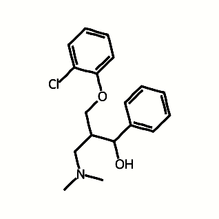 CN(C)CC(COc1ccccc1Cl)C(O)c1ccccc1